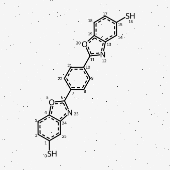 Sc1ccc2oc(-c3ccc(-c4nc5cc(S)ccc5o4)cc3)nc2c1